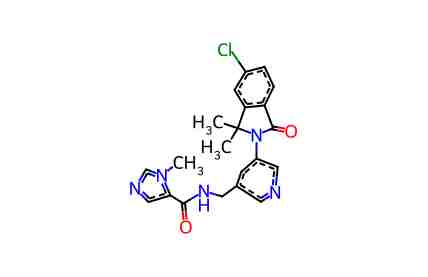 Cn1cncc1C(=O)NCc1cncc(N2C(=O)c3ccc(Cl)cc3C2(C)C)c1